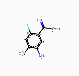 CCCCCC(=N)c1cc(N)c([N+](=O)[O-])cc1F